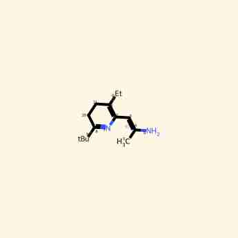 CCC1=C(/C=C(\C)N)N=C(C(C)(C)C)CC1